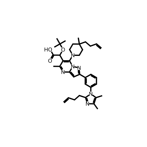 C=CCCc1nc(C)c(C)n1-c1cccc(-c2cc3nc(C)c(C(OC(C)(C)C)C(=O)O)c(N4CCC(C)(CCC=C)CC4)n3n2)c1